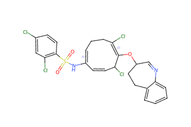 O=S(=O)(N/C1=C/CC/C(Cl)=C(/OC2C=Nc3ccccc3CC2)C(Cl)C=C1)c1ccc(Cl)cc1Cl